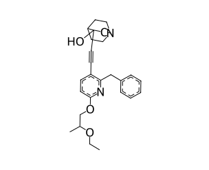 CCOC(C)COc1ccc(C#CC2(O)CN3CCC2CC3)c(Cc2ccccc2)n1